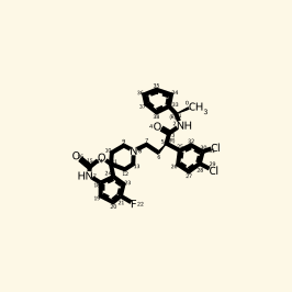 C[C@@H](NC(=O)[C@H](CCN1CCC2(CC1)OC(=O)Nc1ccc(F)cc12)c1ccc(Cl)c(Cl)c1)c1ccccc1